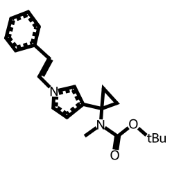 CN(C(=O)OC(C)(C)C)C1(c2ccn(C=Cc3ccccc3)c2)CC1